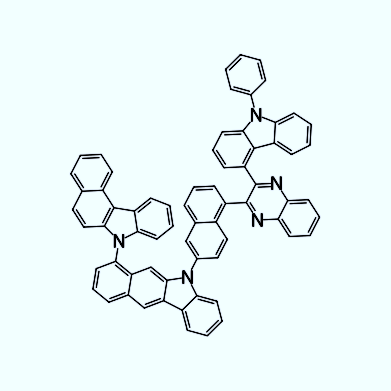 c1ccc(-n2c3ccccc3c3c(-c4nc5ccccc5nc4-c4cccc5cc(-n6c7ccccc7c7cc8cccc(-n9c%10ccccc%10c%10c%11ccccc%11ccc%109)c8cc76)ccc45)cccc32)cc1